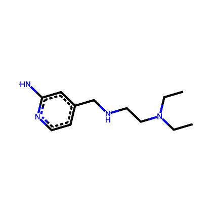 CCN(CC)CCNCc1ccnc([NH])c1